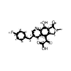 CN1Cc2c(c(O)c3ncc(Cc4ccc(F)cc4)cc3c2C(=O)C(=O)O)C1=O